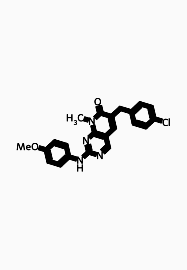 COc1ccc(Nc2ncc3cc(Cc4ccc(Cl)cc4)c(=O)n(C)c3n2)cc1